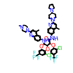 Cc1cc(N2CCC(N3CCCC3)CC2)nc2ccc(NC(=O)C(Oc3ccc(C(F)(F)F)cc3Cl)C(Oc3ccc(C(F)(F)F)cc3Cl)C(=O)Nc3ccc4nc(N5CCN(C)CC5)cc(C)c4c3)cc12